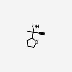 C#CC(C)(O)C1CCCO1